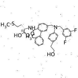 CSCC[C@H](NC(=O)c1ccc(CN(Cc2cc(F)cc(F)c2)c2ccc(CCO)cc2)cc1-c1ccccc1C)C(=O)O